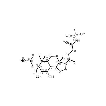 CC[C@H]1[C@@H](O)C2C3CCC([C@H](C)CCC(=O)NS(C)(=O)=O)[C@@]3(C)CCC2[C@@]2(C)CC[C@@H](O)C[C@@H]12